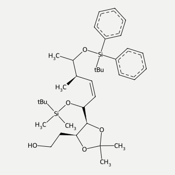 CC(O[Si](c1ccccc1)(c1ccccc1)C(C)(C)C)[C@H](C)/C=C\C(O[Si](C)(C)C(C)(C)C)[C@H]1OC(C)(C)O[C@H]1CCO